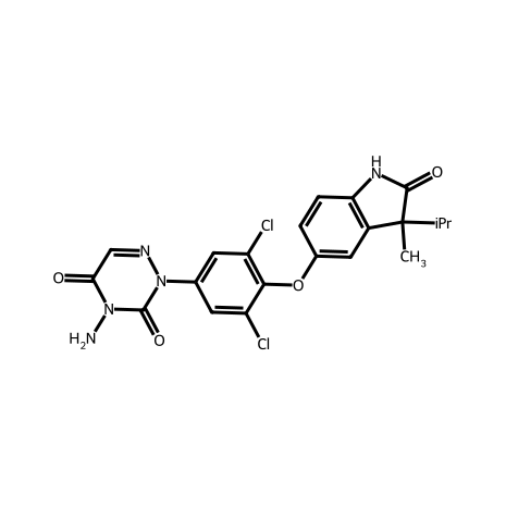 CC(C)C1(C)C(=O)Nc2ccc(Oc3c(Cl)cc(-n4ncc(=O)n(N)c4=O)cc3Cl)cc21